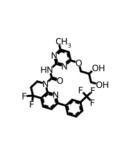 Cc1cc(OCC(O)CO)nc(NC(=O)N2CCC(F)(F)c3ccc(-c4cccc(C(F)(F)F)c4)nc32)n1